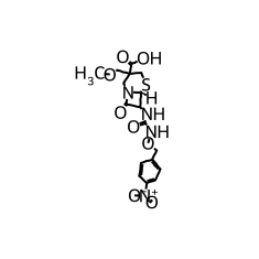 COCC1(C(=O)O)CS[C@@H]2C(NC(=O)NOCc3ccc([N+](=O)[O-])cc3)C(=O)N2C1